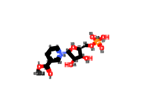 CC(C)(C)OC(=O)c1ccc[n+]([C@@H]2O[C@H](COP(=O)([O-])O)[C@@H](O)[C@H]2O)c1